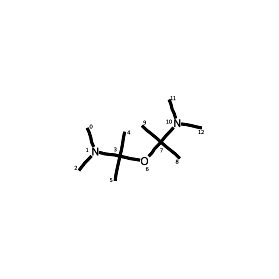 CN(C)C(C)(C)OC(C)(C)N(C)C